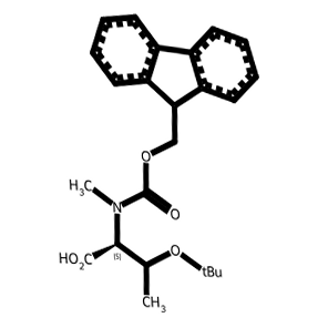 CC(OC(C)(C)C)[C@@H](C(=O)O)N(C)C(=O)OCC1c2ccccc2-c2ccccc21